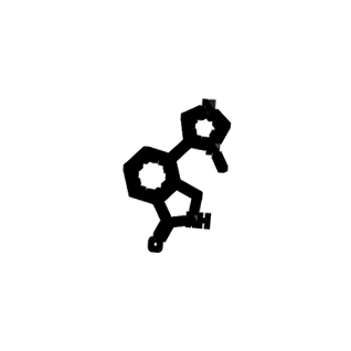 Cn1cncc1-c1cccc2c1CNC2=O